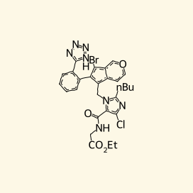 CCCCc1nc(Cl)c(C(=O)NCC(=O)OCC)n1Cc1c2ccocc-2c(Br)c1-c1ccccc1-c1nnn[nH]1